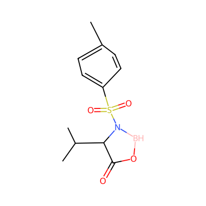 Cc1ccc(S(=O)(=O)N2BOC(=O)C2C(C)C)cc1